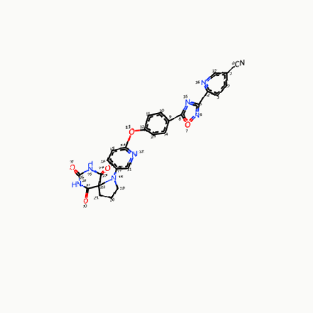 N#Cc1ccc(-c2noc(-c3ccc(Oc4ccc(N5CCCC56C(=O)NC(=O)NC6=O)cn4)cc3)n2)nc1